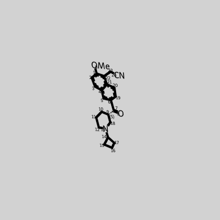 COc1ccc2cc(C(=O)[C@H]3CCCN(C4CCC4)C3)ccc2c1CC#N